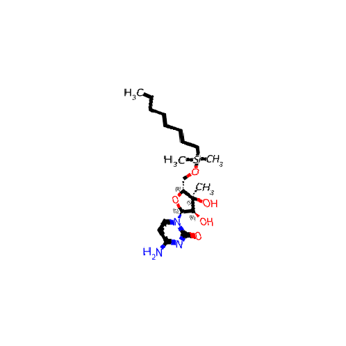 CCCCCCCC[Si](C)(C)OC[C@H]1O[C@H](n2ccc(N)nc2=O)[C@H](O)[C@]1(C)O